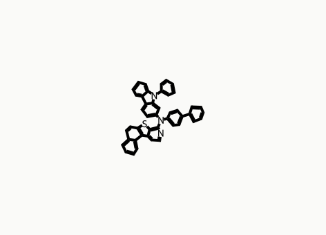 c1ccc(-c2ccc(N(c3ccc4c5ccccc5n(-c5ccccc5)c4c3)c3nccc4c3sc3ccc5ccccc5c34)cc2)cc1